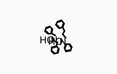 ON(CCCc1ccccc1)c1ccccc1.ON(Cc1ccccc1)Cc1ccccc1